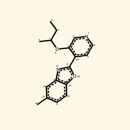 CCC(C)Oc1cnccc1-c1nc2cc(C)ccc2o1